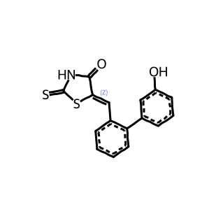 O=C1NC(=S)S/C1=C\c1ccccc1-c1cccc(O)c1